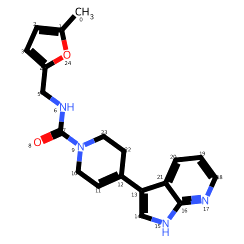 Cc1ccc(CNC(=O)N2CC=C(c3c[nH]c4ncccc34)CC2)o1